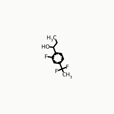 CCC(O)c1ccc(C(C)(F)F)cc1F